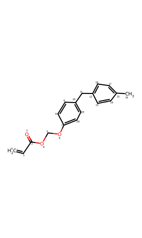 C=CC(=O)OCOc1ccc(Cc2ccc(C)cc2)cc1